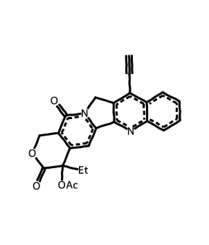 C#Cc1c2c(nc3ccccc13)-c1cc3c(c(=O)n1C2)COC(=O)C3(CC)OC(C)=O